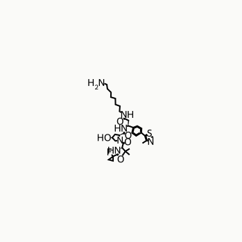 Cc1ncsc1-c1ccc([C@H](CC(=O)NCCCCCCCCN)NC(=O)[C@@H]2C[C@@H](O)CN2C(=O)[C@@H](NC(=O)C2(F)CC2)C(C)(C)C)cc1